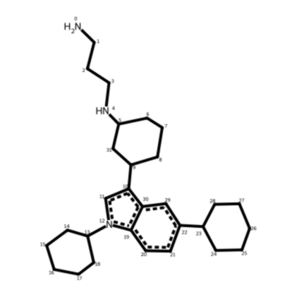 NCCCNC1CCCC(c2cn(C3CCCCC3)c3ccc(C4CCCCC4)cc23)C1